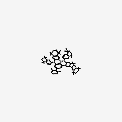 Cc1cccc(C)c1-c1cc2c3c(c1)N(c1ccc4c(c1)C(C)(C)CCC4(C)C)c1cc4c(cc1B3N(c1ccc3c(c1)C(C)(C)CCC3(C)C)c1cc3c(cc1-2)-c1cc2c(cc1C3(C)C)C(C)(C)CCC2(C)C)C(C)(C)CCC4(C)C